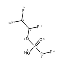 O=P(O)(OF)OC(F)C(F)F